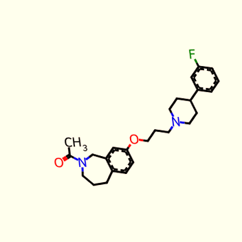 CC(=O)N1CCCc2ccc(OCCCN3CCC(c4cccc(F)c4)CC3)cc2C1